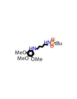 COc1cc(NCCCCCNS(=O)(=O)C(C)(C)C)cc(OC)c1OC